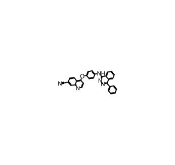 N#Cc1ccc2c(Oc3ccc(Nc4nnc(-c5ccccc5)c5ccccc45)cc3)ccnc2c1